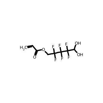 C=CC(=O)OCC(F)(F)C(F)(F)C(F)(F)C(O)O